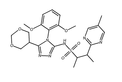 COc1cccc(OC)c1-n1c(NS(=O)(=O)C(C)C(C)c2ncc(C)cn2)nnc1C1COCOC1